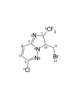 FC(F)(F)C1N=C2C=CC(Cl)=NN2C1CBr